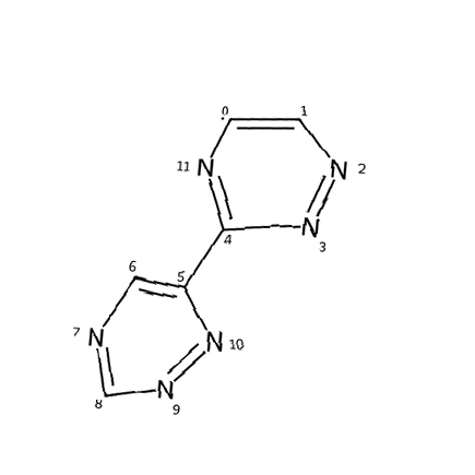 [c]1cnnc(-c2cncnn2)n1